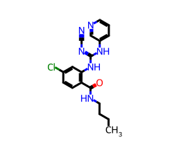 CCCCNC(=O)c1ccc(Cl)cc1NC(=NC#N)Nc1cccnc1